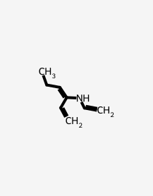 C=CN/C(C=C)=C/CC